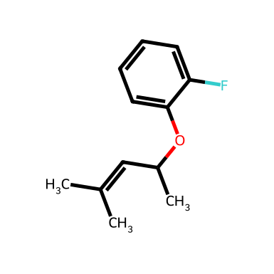 CC(C)=CC(C)Oc1ccccc1F